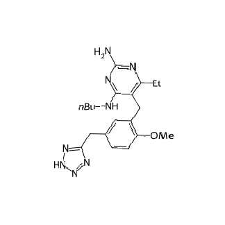 CCCCNc1nc(N)nc(CC)c1Cc1cc(Cc2nn[nH]n2)ccc1OC